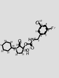 O=C(NCc1cc(F)cc(Cl)c1)O[C@@]1(O)CCN(C2CCCCC2)C1=O